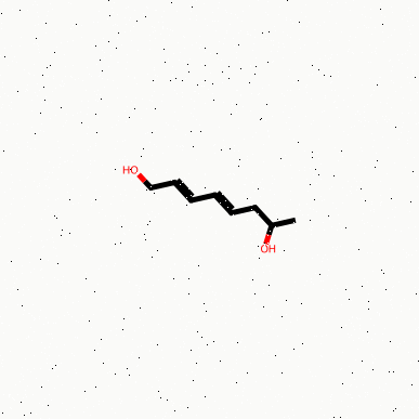 CC(O)C/C=C/C=C/CO